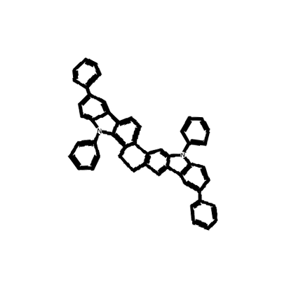 c1ccc(-c2ccc3c(c2)c2cc4c(cc2n3-c2ccccc2)-c2ccc3c5cc(-c6ccccc6)ccc5n(-c5ccccc5)c3c2CC4)cc1